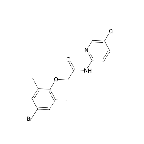 Cc1cc(Br)cc(C)c1OCC(=O)Nc1ccc(Cl)cn1